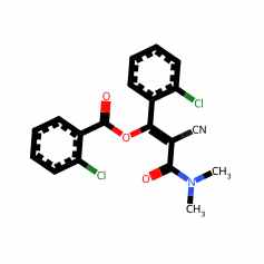 CN(C)C(=O)/C(C#N)=C(\OC(=O)c1ccccc1Cl)c1ccccc1Cl